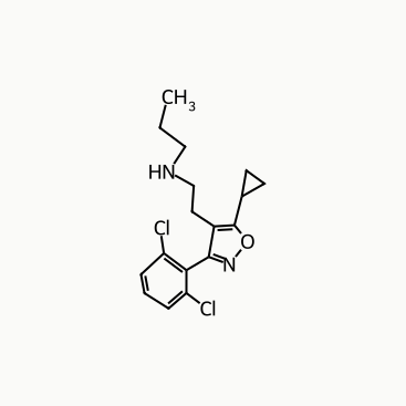 CCCNCCc1c(-c2c(Cl)cccc2Cl)noc1C1CC1